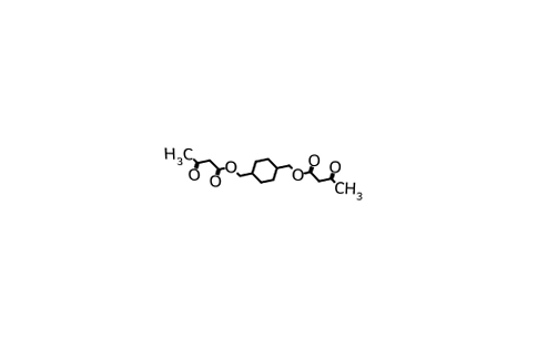 CC(=O)CC(=O)OCC1CCC(COC(=O)CC(C)=O)CC1